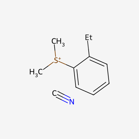 CCc1ccccc1[S+](C)C.[C-]#N